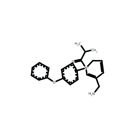 CC(C)C(=O)[N+]1(c2ccc(Oc3ccccc3)cc2)C=C(CN)C=CC1